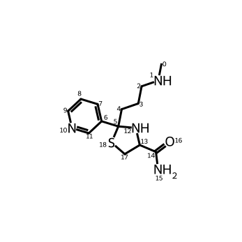 CNCCCC1(c2cccnc2)NC(C(N)=O)CS1